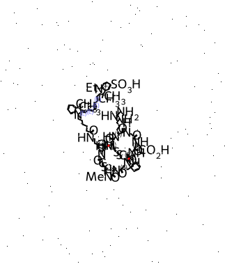 CC[N+]1=C(/C=C/C=C/C=C/C=C2/N(CCCCCC(=O)NCCCC[C@@H]3NC(=O)CSC[C@@H](C(=O)NC)NC(=O)[C@H](Cc4ccccc4)NC(=O)[C@@H]4CSSC[C@H](NC3=O)C(=O)N[C@@H](CCCNC(=N)N)C(=O)NCC(=O)N[C@@H](CC(=O)O)C(=O)N4)c3ccccc3C2(C)C)C(C)(C)c2cc(S(=O)(=O)O)ccc21